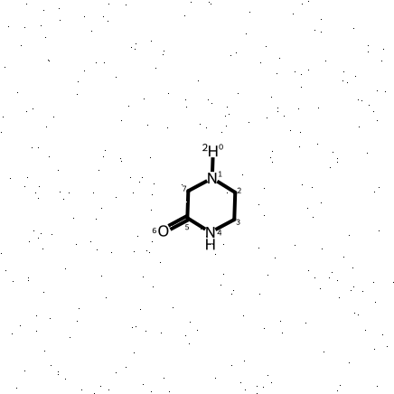 [2H]N1CCNC(=O)C1